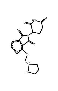 O=C1CCC(N2C(=O)c3cccc(OC[C@@H]4CCCN4)c3C2=O)C(=O)N1